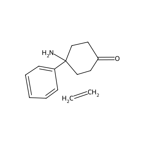 C=C.NC1(c2ccccc2)CCC(=O)CC1